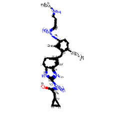 CCCCNCCNc1ccc(S(=O)(=O)O)c(-c2ccc3[nH]c(NC(=O)C4CC4)nc3c2)c1